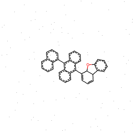 C1=CC2c3ccccc3OC2C(c2c3ccccc3c(-c3cccc4ccccc34)c3ccccc23)=C1